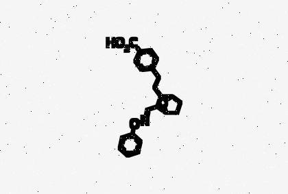 O=C(O)c1ccc(CCC2C3CCC(O3)C2C=NOc2ccccc2)cc1